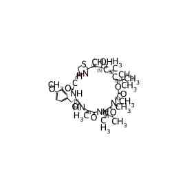 CC[C@H](C)[C@@H]1NC(=O)[C@H](C)NC(=O)[C@H](Cc2ccc(OC)cc2)NC(=O)CC[C@@H]2CSC(=N2)[C@@H](C)[C@@H](O)C[C@H](C)C[C@@H](C(C)(C)C)OC(=O)[C@H](C)N(C)C1=O